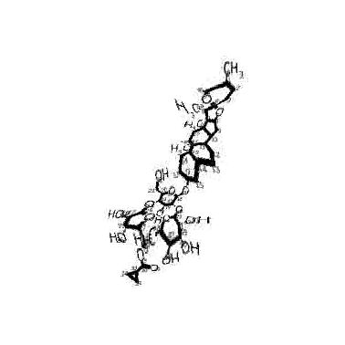 C[C@@H]1CC[C@@]2(OC1)OC1CC3C4CC=C5C[C@@H](O[C@@H]6O[C@H](CO)[C@@H](OC7O[C@@H](COC(=O)C8CC8)[C@H](O)[C@H]7O)[C@H](O)[C@H]6OC6O[C@@H](C)[C@H](O)[C@@H](O)[C@H]6O)CC[C@]5(C)C4CC[C@]3(C)C1[C@@H]2C